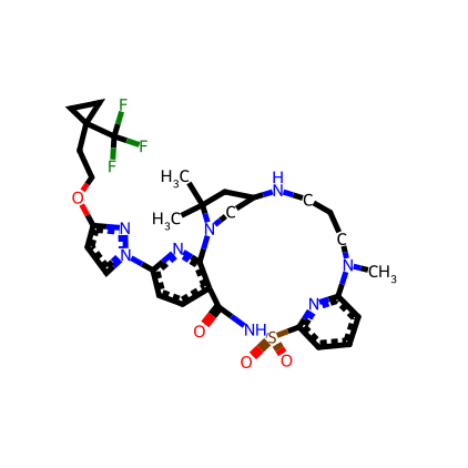 CN1CCCNC2CN(c3nc(-n4ccc(OCCC5(C(F)(F)F)CC5)n4)ccc3C(=O)NS(=O)(=O)c3cccc1n3)C(C)(C)C2